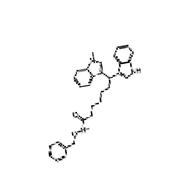 O=C(CCCCCC(c1c[nH]c2ccccc12)c1c[nH]c2ccccc12)NOCc1ccccc1